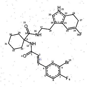 O=C(/C=C/c1ccc(F)c(Br)c1)NC1(C(=O)NCCc2c[nH]c3c2C=C(F)CC3)CCCCC1